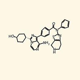 Nc1nccn2c1c(-c1ccc(C(=O)N(c3ccccc3)c3nc4c(s3)CNCC4)cc1)nc2[C@H]1CC[C@H](O)CC1